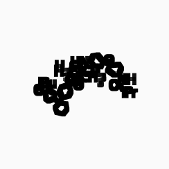 CCC(C)Oc1ccc(C2(c3ccc(OC(=O)C(C)(C)C(C)(C)Nc4ccc(Oc5ccc(NC(=O)C(C)C)cc5)cc4)cc3)CCCCC2)cc1